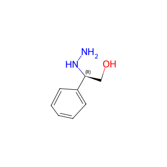 NN[C@@H](CO)c1ccccc1